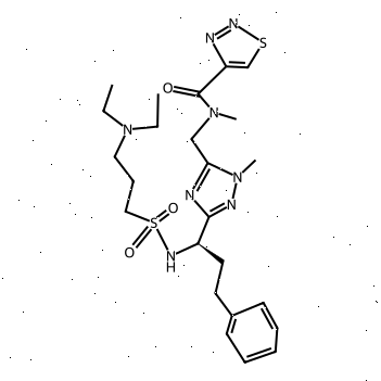 CCN(CC)CCCS(=O)(=O)N[C@H](CCc1ccccc1)c1nc(CN(C)C(=O)c2csnn2)n(C)n1